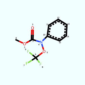 COC(=O)N(OC(F)(F)F)c1ccccc1